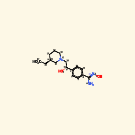 N/C(=N\O)c1ccc([C@H](O)CN2CCC[C@H](CC(=O)O)C2)cc1